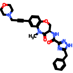 CN1C(=O)[C@H](NC(=O)c2n[nH]c(Cc3ccccc3)n2)COc2ccc(C#CCN3CCOCC3)cc21